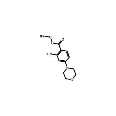 CC(C)(C)OOC(=O)c1ccc(N2CCOCC2)cc1N